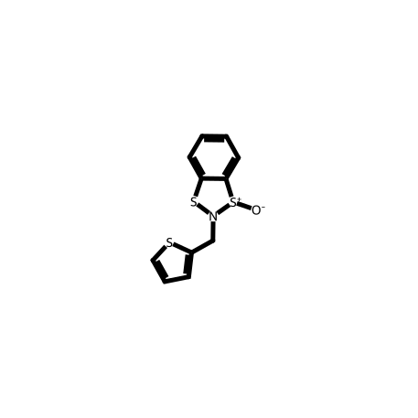 [O-][S+]1c2ccccc2SN1Cc1cccs1